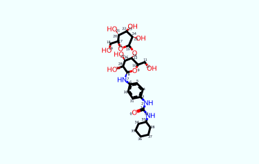 O=C(Nc1ccc(N[C@@H]2OC(CO)[C@@H](OC3OC(CO)[C@H](O)C(O)[C@@H]3O)[C@H](O)C2O)cc1)NC1CCCCC1